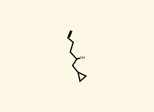 C=CCCC(O)CC1CC1